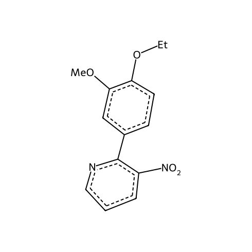 CCOc1ccc(-c2ncccc2[N+](=O)[O-])cc1OC